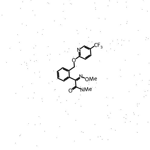 CNC(=O)C(=NOC)c1ccccc1COc1ccc(C(F)(F)F)cn1